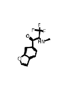 CNC(C(=O)c1ccc2ccoc2c1)C(F)(F)F